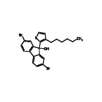 CCCCCCc1ccsc1C1(O)c2cc(Br)ccc2-c2ccc(Br)cc21